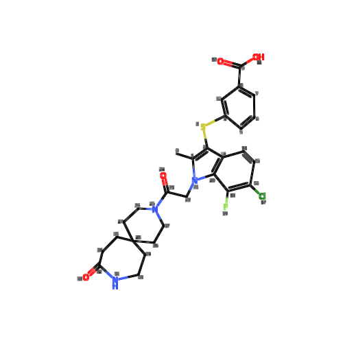 Cc1c(Sc2cccc(C(=O)O)c2)c2ccc(Cl)c(F)c2n1CC(=O)N1CCC2(CCNC(=O)CC2)CC1